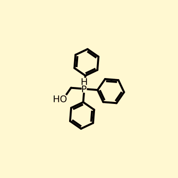 OC[PH](c1ccccc1)(c1ccccc1)c1ccccc1